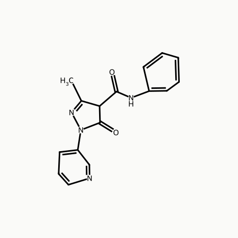 CC1=NN(c2cccnc2)C(=O)C1C(=O)Nc1ccccc1